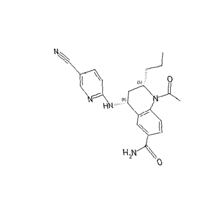 CCC[C@H]1C[C@@H](Nc2ccc(C#N)cn2)c2cc(C(N)=O)ccc2N1C(C)=O